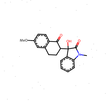 COc1ccc2c(c1)CCC(C1(O)C(=O)N(C)c3ccccc31)C2=O